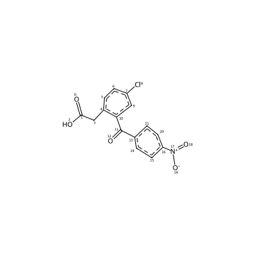 O=C(O)Cc1ccc(Cl)cc1C(=O)c1ccc([N+](=O)[O-])cc1